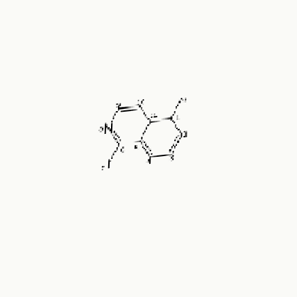 CC1C=CC=C2C(I)=NC=CC21